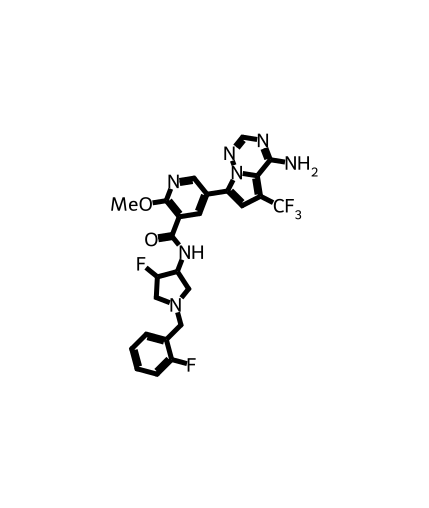 COc1ncc(-c2cc(C(F)(F)F)c3c(N)ncnn23)cc1C(=O)NC1CN(Cc2ccccc2F)CC1F